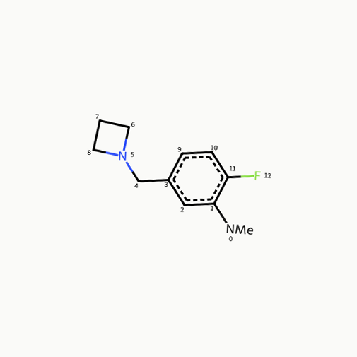 CNc1cc(CN2CCC2)ccc1F